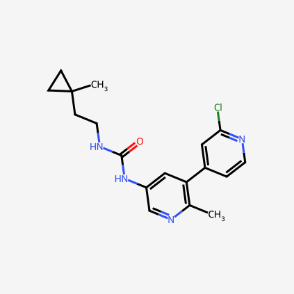 Cc1ncc(NC(=O)NCCC2(C)CC2)cc1-c1ccnc(Cl)c1